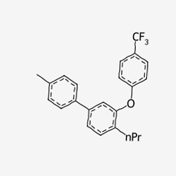 CCCc1ccc(-c2ccc(C)cc2)cc1Oc1ccc(C(F)(F)F)cc1